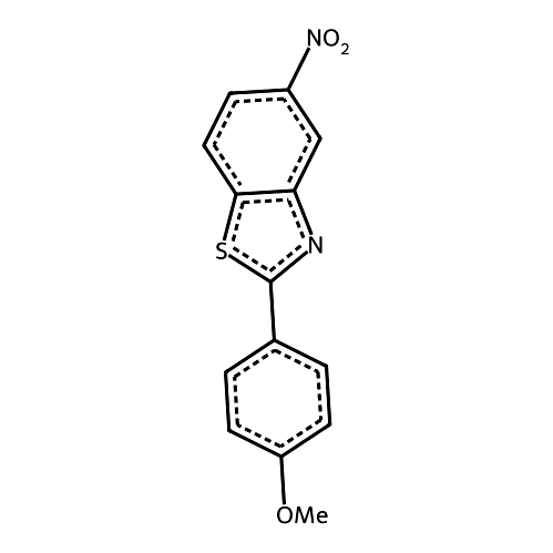 COc1ccc(-c2nc3cc([N+](=O)[O-])ccc3s2)cc1